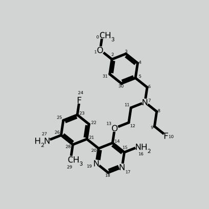 COc1ccc(CN(CCF)CCOc2c(N)ncnc2-c2cc(F)cc(N)c2C)cc1